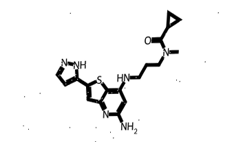 CN(CCCNc1cc(N)nc2cc(-c3ccn[nH]3)sc12)C(=O)C1CC1